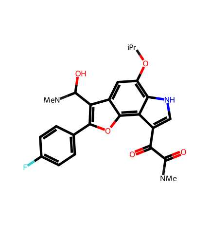 CNC(=O)C(=O)c1c[nH]c2c(OC(C)C)cc3c(C(O)NC)c(-c4ccc(F)cc4)oc3c12